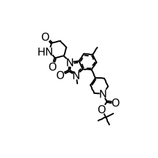 Cc1cc(C2=CCN(C(=O)OC(C)(C)C)CC2)c2c(c1)n(C1CCC(=O)NC1=O)c(=O)n2C